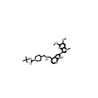 COc1cc2c(nc1OC)c(-c1cc3c(CNCC4CCN(C(=O)OC(C)(C)C)CC4)ccnc3[nH]1)cn2C